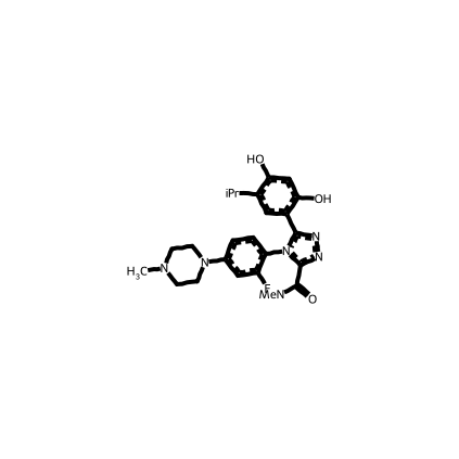 CNC(=O)c1nnc(-c2cc(C(C)C)c(O)cc2O)n1-c1ccc(N2CCN(C)CC2)cc1F